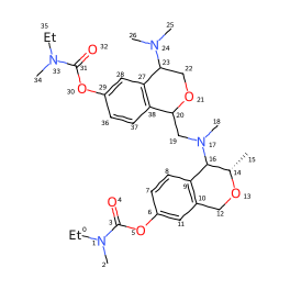 CCN(C)C(=O)Oc1ccc2c(c1)CO[C@@H](C)C2N(C)CC1OCC(N(C)C)c2cc(OC(=O)N(C)CC)ccc21